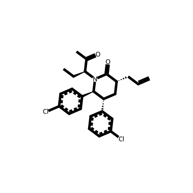 C=CC[C@@H]1C[C@H](c2cccc(Cl)c2)[C@@H](c2ccc(Cl)cc2)N([C@@H](CC)C(C)=O)C1=O